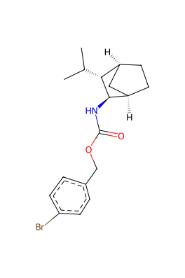 CC(C)[C@@H]1[C@H]2CC[C@H](C2)[C@H]1NC(=O)OCc1ccc(Br)cc1